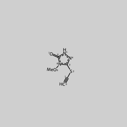 C#CSc1n[nH]c(=O)n1OC